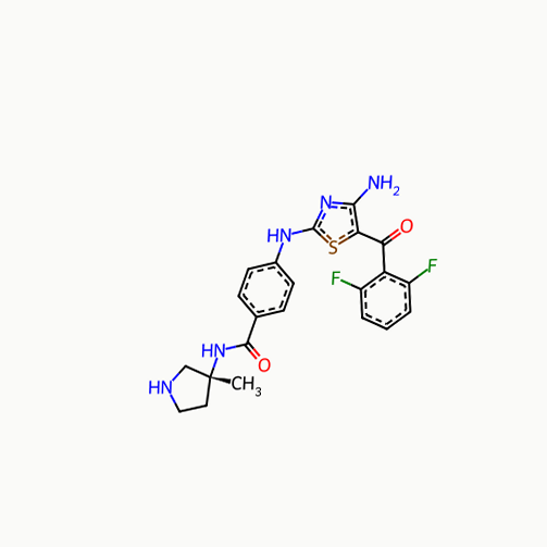 C[C@@]1(NC(=O)c2ccc(Nc3nc(N)c(C(=O)c4c(F)cccc4F)s3)cc2)CCNC1